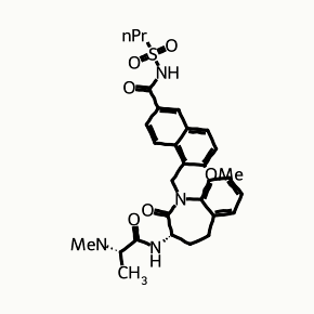 CCCS(=O)(=O)NC(=O)c1ccc2c(CN3C(=O)[C@@H](NC(=O)[C@H](C)NC)CCc4ccccc43)c(OC)ccc2c1